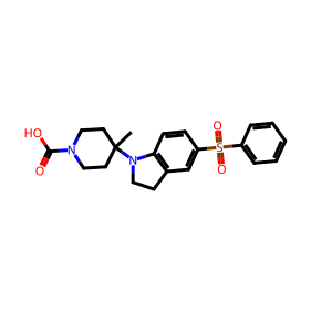 CC1(N2CCc3cc(S(=O)(=O)c4ccccc4)ccc32)CCN(C(=O)O)CC1